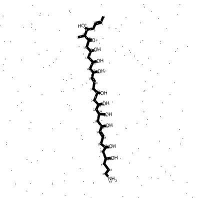 C/C=C/CC(O)C(C)C(=O)CC(O)CC(O)CC(O)/C=C/CC(O)CC(O)CC(O)CC(O)/C=C/CC(O)CC(O)CCCN